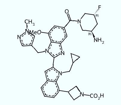 COc1cc(C(=O)N2C[C@H](N)C[C@@H](F)C2)cc2nc(-c3cc4cccc(C5CN(C(=O)O)C5)c4n3CC3CC3)n(Cc3cnn(C)c3)c12